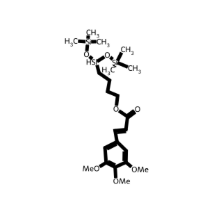 COc1cc(C=CC(=O)OCCCC[SiH](O[Si](C)(C)C)O[Si](C)(C)C)cc(OC)c1OC